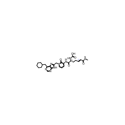 CN(C)C(=O)/C=C/CC[C@H](NC(=O)O)C(=O)Nc1cccn(Cc2nc3c(CC4CCCCC4)ncnc3[nH]2)c1=O